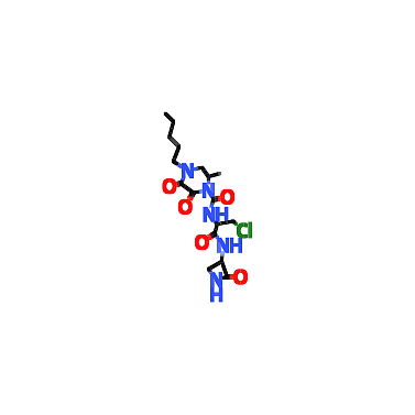 CCCCCN1CC(C)N(C(=O)NC(CCl)C(=O)NC2CNC2=O)C(=O)C1=O